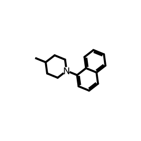 CC1CCN(c2cccc3ccccc23)CC1